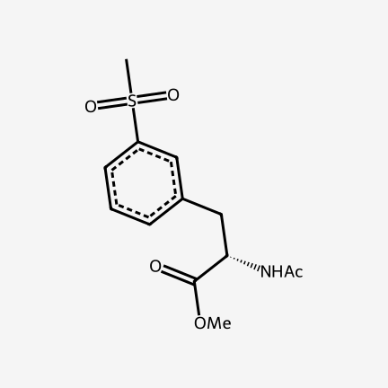 COC(=O)[C@H](Cc1cccc(S(C)(=O)=O)c1)NC(C)=O